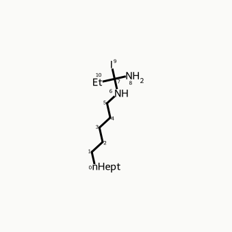 CCCCCCCCCCCCNC(N)(I)CC